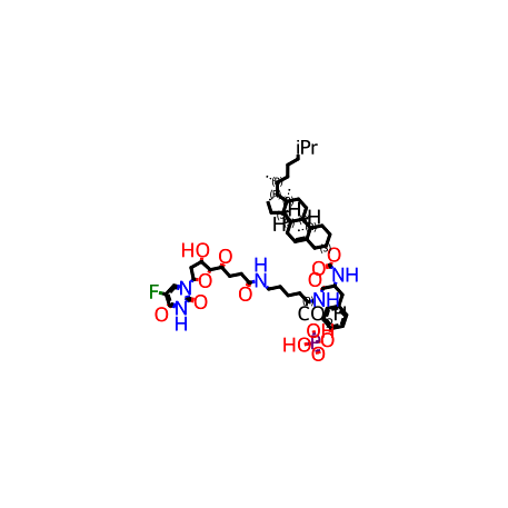 CC(C)CCC[C@@H](C)[C@H]1CC[C@H]2[C@@H]3CC=C4C[C@@H](OC(=O)NC(Cc5ccc(OP(=O)(O)O)cc5)C(=O)N[C@H](CCCCNC(=O)CCC(=O)C5OC(n6cc(F)c(=O)[nH]c6=O)CC5O)C(=O)O)CC[C@]4(C)[C@H]3CC[C@]12C